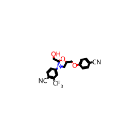 N#Cc1ccc(OCC2CN(c3ccc(C#N)c(C(F)(F)F)c3)C(CO)O2)cc1